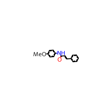 COc1ccc(NC(=O)C=Cc2ccccc2)cc1